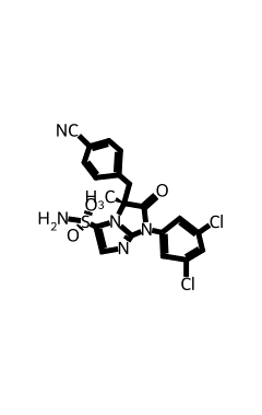 C[C@@]1(Cc2ccc(C#N)cc2)C(=O)N(c2cc(Cl)cc(Cl)c2)c2ncc(S(N)(=O)=O)n21